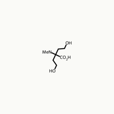 CNC(CCO)(CCO)C(=O)O